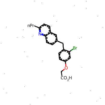 CCCc1ccc2cc(Cc3ccc(OCC(=O)O)cc3Br)ccc2n1